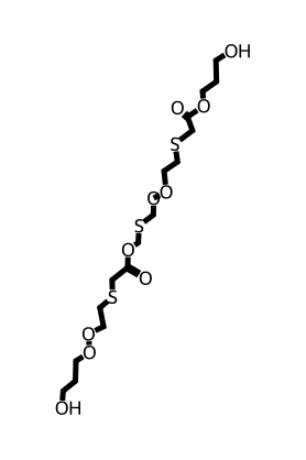 O=C(CSCCOOCSCOC(=O)CSCCOOCCCO)OCCCO